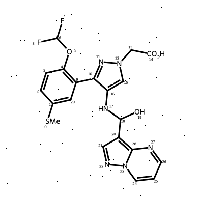 CSc1ccc(OC(F)F)c(-c2nn(CC(=O)O)cc2NC(O)c2cnn3cccnc23)c1